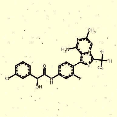 [2H]C([2H])([2H])c1nc(-c2ccc(NC(=O)[C@@H](O)c3cccc(Cl)c3)cc2F)c2c(N)nc(C)cn12